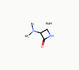 CC(=O)N(C#N)C1CNC1=O.[NaH]